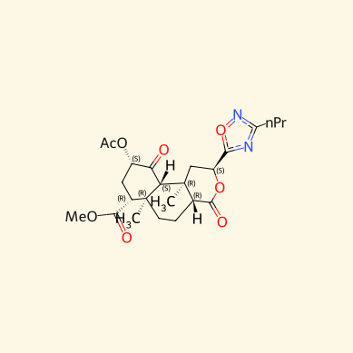 CCCc1noc([C@@H]2C[C@]3(C)[C@H]4C(=O)[C@@H](OC(C)=O)C[C@@H](C(=O)OC)[C@]4(C)CC[C@H]3C(=O)O2)n1